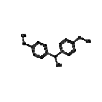 CCCCC(c1ccc(OC#N)cc1)c1ccc(OC#N)cc1